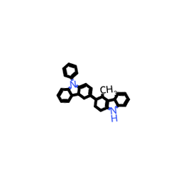 CC1C2=C(CCC1C1=CC=C3C(C1)C1C=CC=CC1N3c1ccccc1)NC1C=CC=CC21